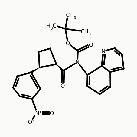 CC(C)(C)OC(=O)N(C(=O)[C@@H]1CC[C@@H]1c1cccc([N+](=O)[O-])c1)c1cccc2cccnc12